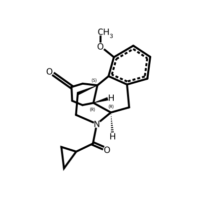 COc1cccc2c1[C@]13CCN(C(=O)C4CC4)[C@H](C2)[C@@H]1CCC(=O)C3